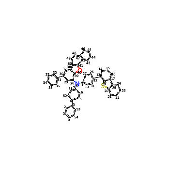 c1ccc(-c2ccc(N(c3ccc(-c4cccc5c4sc4ccccc45)cc3)c3cc(-c4ccccc4)cc4c3oc3c5ccccc5ccc43)cc2)cc1